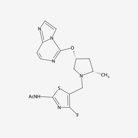 CC(=O)Nc1nc(F)c(CN2C[C@H](Oc3nccc4nccn34)C[C@@H]2C)s1